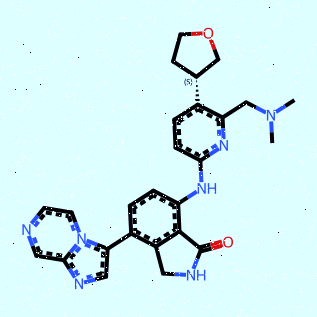 CN(C)Cc1nc(Nc2ccc(-c3cnc4cnccn34)c3c2C(=O)NC3)ccc1[C@@H]1CCOC1